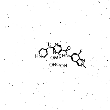 COc1nc(N(C)C2CCNCC2)ncc1C(=O)Nc1cc(F)c2nn(C)cc2c1.O=CO